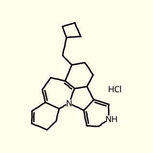 C1=CC2=CCC3=C4C(CCC3CC3CCC3)C3=CNCC=C3N4C2CC1.Cl